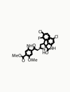 COC(=O)c1cc(N)c(C(=O)C[C@H]2CC(c3cccc(Cl)c3F)[C@@]3(N2)C(=O)Nc2cc(Cl)ccc23)cc1OC